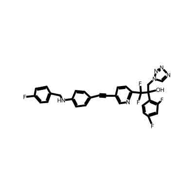 OC(Cn1cnnn1)(c1ccc(F)cc1F)C(F)(F)c1ccc(C#Cc2ccc(NCc3ccc(F)cc3)cc2)cn1